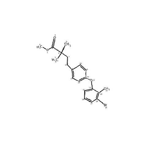 COC(=O)C(C)(C)CCc1ccc(Oc2cccc(Br)c2C)cc1